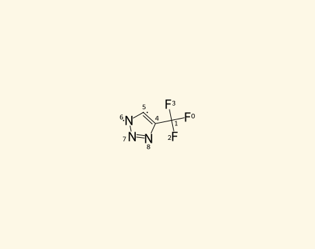 FC(F)(F)C1=[C][N]N=N1